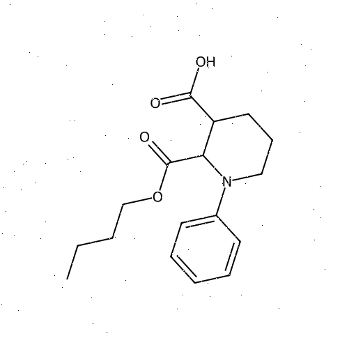 CCCCOC(=O)C1C(C(=O)O)CCCN1c1ccccc1